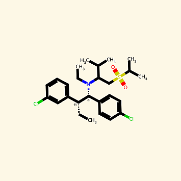 CC[C@H](c1cccc(Cl)c1)[C@@H](c1ccc(Cl)cc1)N(CC)C(CS(=O)(=O)C(C)C)C(C)C